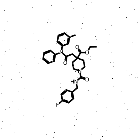 CCOC(=O)C1(CC(=O)N(c2ccccc2)c2cccc(C)c2)CCN(C(=O)NCc2ccc(F)cc2)CC1